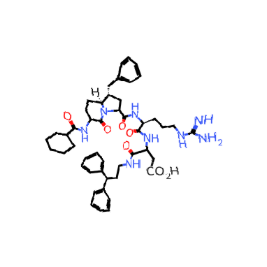 N=C(N)NCCC[C@H](NC(=O)C1C[C@@H](Cc2ccccc2)[C@@H]2CCC(NC(=O)C3CCCCC3)C(=O)N12)C(=O)NC(CC(=O)O)C(=O)NCCC(c1ccccc1)c1ccccc1